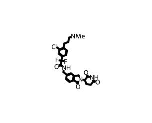 CNCCCc1ccc(C(F)(F)C(=O)NCc2ccc3c(c2)CN(C2CCC(=O)NC2=O)C3=O)cc1Cl